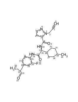 C#CCn1nccc1C(=O)N[C@H](C(=O)Nc1ccc(C(C)C=O)cc1F)C1CCC(C)CC1